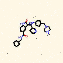 CN1CCN(Cc2ccc(N/C(=C3\C(=O)Nc4ccc(C(=O)NCc5ccccc5)cc43)c3cccnc3)cc2)CC1